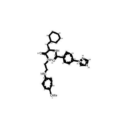 COc1ccc(NCCNC(=O)C(CC2CCCCC2)NC(=O)c2ccc(-n3cncn3)cc2)cc1